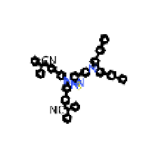 N#CC(=C(c1ccccc1)c1ccccc1)c1ccc(-c2ccc(N(c3ccc(-c4ccc(C(C#N)=C(c5ccccc5)c5ccccc5)cc4)cc3)c3ccc(-c4ccc(-n5c6ccc(-c7ccc(-c8ccccc8)cc7)cc6c6cc(-c7ccc(-c8ccccc8)cc7)ccc65)cc4)c4nsnc34)cc2)cc1